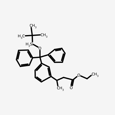 CCOC(=O)CC(C)c1cccc(C(O[SiH2]C(C)(C)C)(c2ccccc2)c2ccccc2)c1